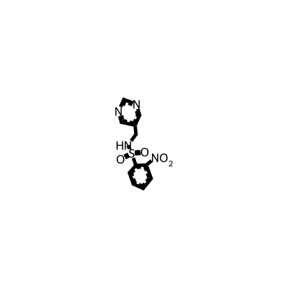 O=[N+]([O-])c1ccccc1S(=O)(=O)NCc1cncnc1